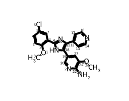 COc1ccc(Cl)cc1-c1nc(-c2ccncc2)c(-c2cnc(N)c(OC)c2)[nH]1